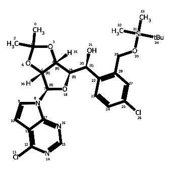 CC1(C)O[C@H]2[C@@H](O1)[C@H](n1ccc3c(Cl)ncnc31)O[C@@H]2[C@@H](O)c1ccc(Cl)cc1CO[Si](C)(C)C(C)(C)C